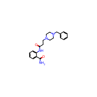 NC(=O)c1ccccc1NC(=O)CCN1CCN(Cc2ccccc2)CC1